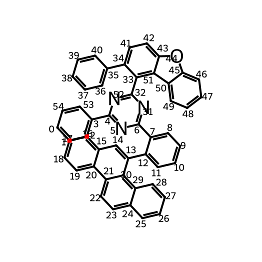 c1ccc(-c2nc(-c3ccccc3-c3cc4ccccc4c4ccc5ccccc5c34)nc(-c3c(-c4ccccc4)ccc4oc5ccccc5c34)n2)cc1